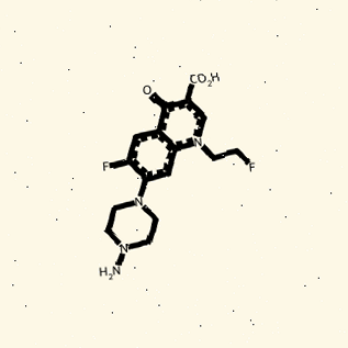 NN1CCN(c2cc3c(cc2F)c(=O)c(C(=O)O)cn3CCF)CC1